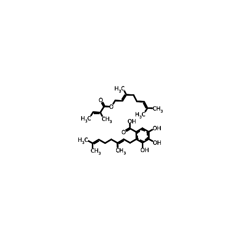 C/C=C(\C)C(=O)OC/C=C(\C)CCC=C(C)C.CC(C)=CCC/C(C)=C/Cc1c(C(=O)O)cc(O)c(O)c1O